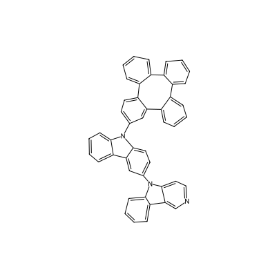 c1ccc2c(c1)-c1ccccc1-c1ccc(-n3c4ccccc4c4cc(-n5c6ccccc6c6cnccc65)ccc43)cc1-c1ccccc1-2